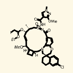 CCOC(CI)O[C@H]1/C=C/[C@H](OC)[C@@H]2CC[C@H]2CN2C[C@@]3(CCCc4cc(Cl)ccc43)COc3ccc(cc32)C(=O)N=[S@](=O)(NC(=O)c2cn(C)nc2OC)C[C@H]1C